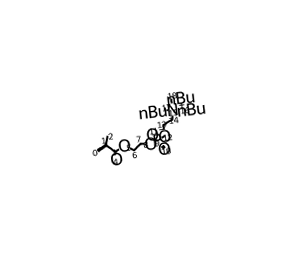 C=C(C)C(=O)OCCOP(=O)([O-])OCC[N+](CCCC)(CCCC)CCCC